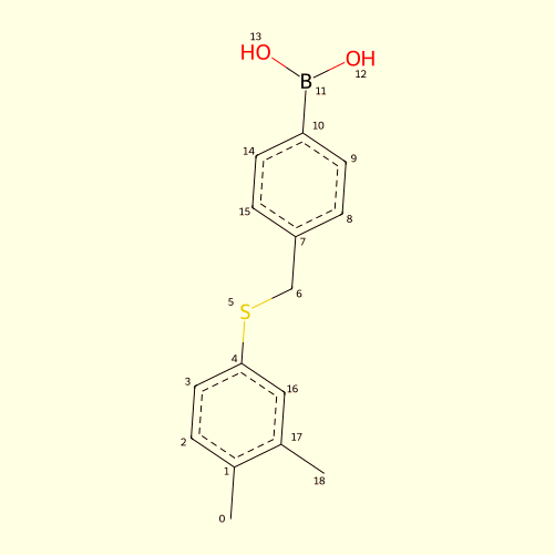 Cc1ccc(SCc2ccc(B(O)O)cc2)cc1C